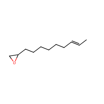 CC=CCCCCCCC1CO1